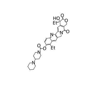 CCc1c(OC(=O)N2CCC(N3CCCCC3)CC2)ccc2nc3c(cc12)Cn1c-3cc2c(c1=O)COC(=O)[C@]2(O)CC